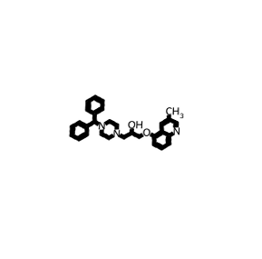 Cc1cnc2cccc(OCC(O)CN3CCN(C(c4ccccc4)c4ccccc4)CC3)c2c1